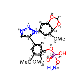 COc1cc(-c2cnnn2-c2cc(OC)c3c(c2)OCO3)cc(OP(=O)(O)ON)c1OC